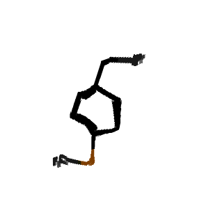 CC(C)Cc1ccc(SC(F)(F)F)cc1